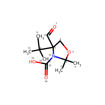 CC1(C)OCC(C=O)(C(C)(C)C)N1C(=O)O